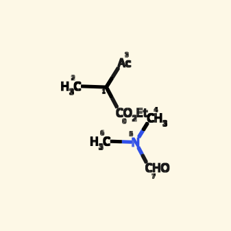 CCOC(=O)C(C)C(C)=O.CN(C)C=O